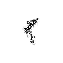 CNC(=O)c1c2cc(C3CC3)c(N(CCCNC(=O)CCN(C)C)S(C)(=O)=O)cc2nn1-c1ccc(Br)cc1